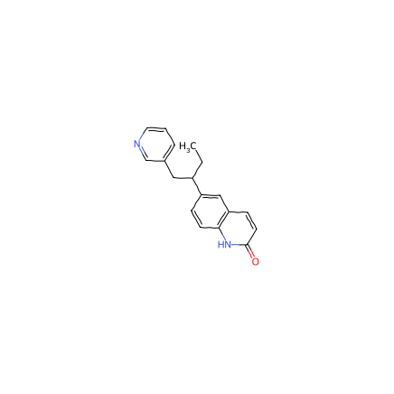 CCC(Cc1cccnc1)c1ccc2[nH]c(=O)ccc2c1